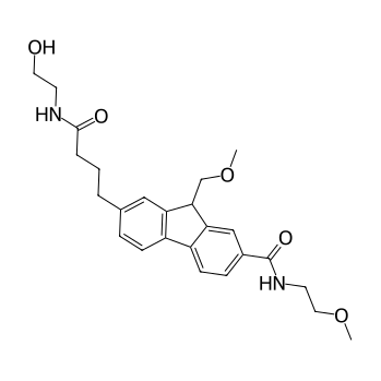 COCCNC(=O)c1ccc2c(c1)C(COC)c1cc(CCCC(=O)NCCO)ccc1-2